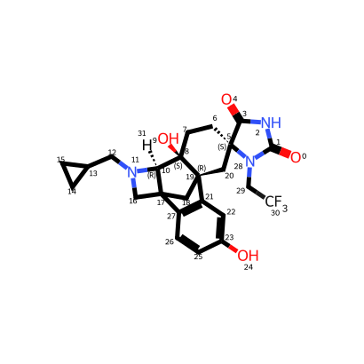 O=C1NC(=O)[C@@]2(CC[C@@]3(O)[C@@H]4N(CC5CC5)CC45C[C@@]3(C2)c2cc(O)ccc25)N1CC(F)(F)F